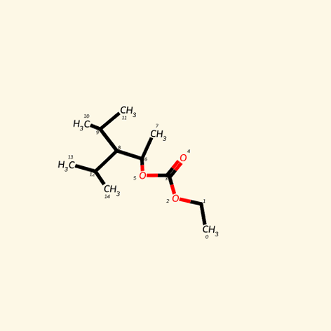 CCOC(=O)OC(C)C(C(C)C)C(C)C